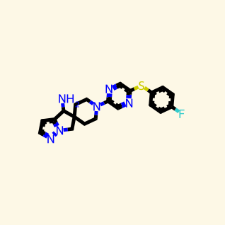 NC1c2ccnn2CC12CCN(c1cnc(Sc3ccc(F)cc3)cn1)CC2